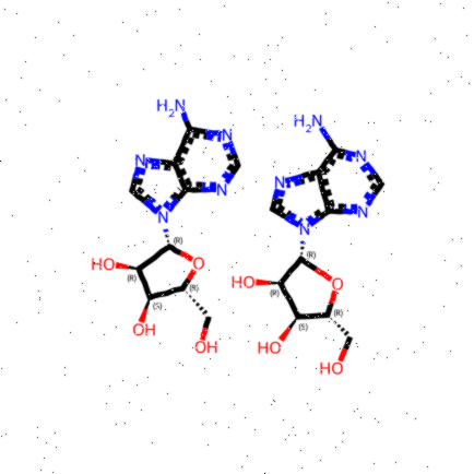 Nc1ncnc2c1ncn2[C@@H]1O[C@H](CO)[C@@H](O)[C@H]1O.Nc1ncnc2c1ncn2[C@@H]1O[C@H](CO)[C@@H](O)[C@H]1O